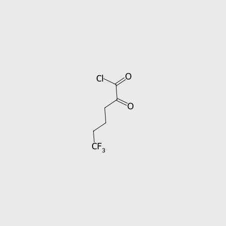 O=C(Cl)C(=O)CCCC(F)(F)F